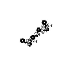 CN[C@@H](C(=O)N1CCC[C@H]1C(=O)Nc1cccc(-c2ncc(-c3ccc4nc([C@@H]5CCCN5C(=O)Cc5ccccc5)[nH]c4c3)o2)c1)c1ccccc1